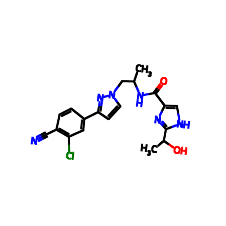 CC(Cn1ccc(-c2ccc(C#N)c(Cl)c2)n1)NC(=O)c1c[nH]c(C(C)O)n1